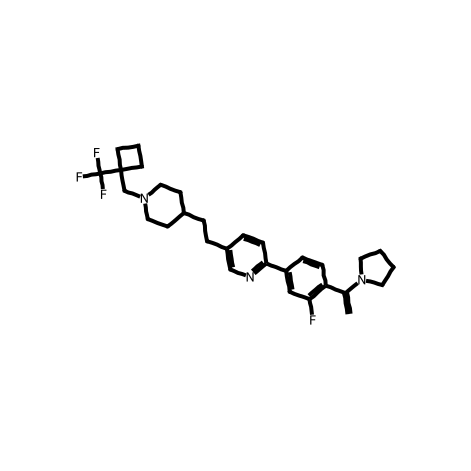 C=C(c1ccc(-c2ccc(CCC3CCN(CC4(C(F)(F)F)CCC4)CC3)cn2)cc1F)N1CCCC1